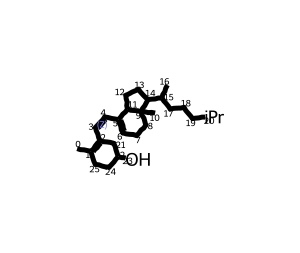 CC1=C(/C=C\C2=CCCC3(C)C2CCC3C(C)CCCC(C)C)CC(O)CC1